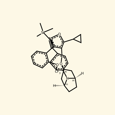 C[Si](C)(C)C#Cc1ccc(N2[C@@H]3CC[C@H]2C[C@@H](OCc2c(-c4ccccc4OC(F)(F)F)noc2C2CC2)C3)cc1